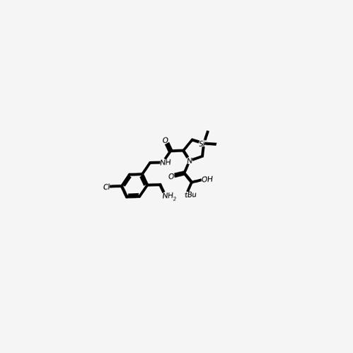 CC(C)(C)C(O)C(=O)N1C[Si](C)(C)CC1C(=O)NCc1cc(Cl)ccc1CN